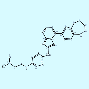 CCN(CC)CCOc1ccc(Nc2nc3cccc(-c4ccc5c(c4)CCCCO5)n3n2)cn1